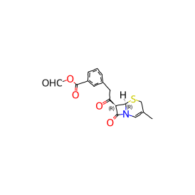 CC1=CN2C(=O)[C@@H](C(=O)Cc3cccc(C(=O)OC=O)c3)[C@H]2SC1